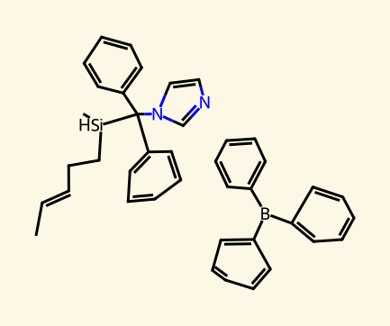 CC=CCC[SiH](C)C(c1ccccc1)(c1ccccc1)n1ccnc1.c1ccc(B(c2ccccc2)c2ccccc2)cc1